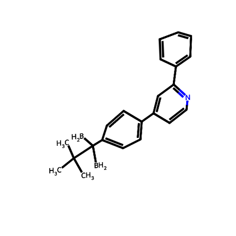 BC(B)(c1ccc(-c2ccnc(-c3ccccc3)c2)cc1)C(C)(C)C